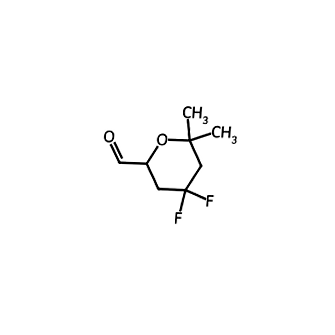 CC1(C)CC(F)(F)CC(C=O)O1